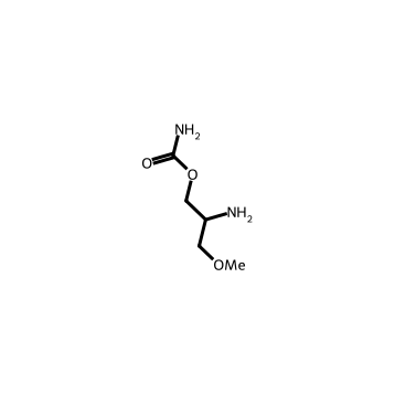 COCC(N)COC(N)=O